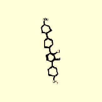 CCCCC1CCC(C2CCC(c3ccc(C4CCC(C)CC4)c(F)c3Cl)CC2)CC1